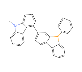 Cn1c2ccccc2c2c(-c3ccc4c5ccccc5p(-c5ccccc5)c4c3)cccc21